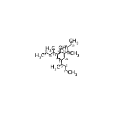 CCCC(C)c1cc(C(C)CCC)c(O)c(C(C)CCC)c1